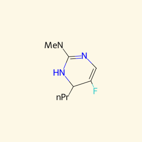 CCCC1NC(NC)=NC=C1F